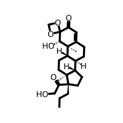 CCC[C@]1(C(=O)CO)CC[C@H]2[C@@H]3CCC4=CC(=O)C5(OCO5)[C@@H](O)[C@]4(C)[C@H]3CC[C@@]21C